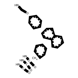 C.N=C=O.N=C=O.N=C=O.N=C=O.c1ccc2ccccc2c1.c1ccccc1.c1ccccc1